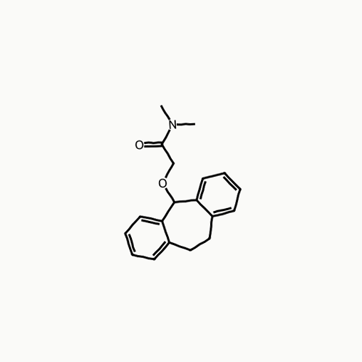 CN(C)C(=O)COC1c2ccccc2CCc2ccccc21